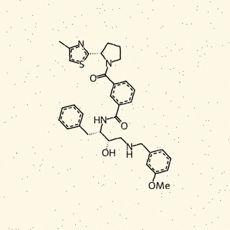 COc1cccc(CNC[C@H](O)[C@H](Cc2ccccc2)NC(=O)c2cccc(C(=O)N3CCC[C@H]3c3nc(C)cs3)c2)c1